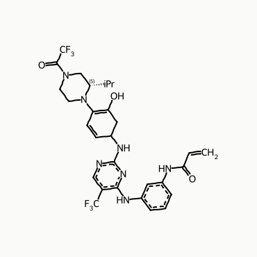 C=CC(=O)Nc1cccc(Nc2nc(NC3C=CC(N4CCN(C(=O)C(F)(F)F)C[C@@H]4C(C)C)=C(O)C3)ncc2C(F)(F)F)c1